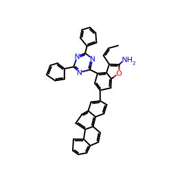 C/C=C\c1c(N)oc2cc(-c3ccc4c(ccc5c6ccccc6ccc45)c3)cc(-c3nc(-c4ccccc4)nc(-c4ccccc4)n3)c12